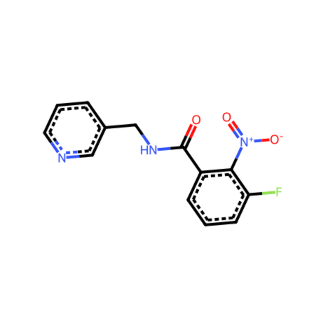 O=C(NCc1cccnc1)c1cccc(F)c1[N+](=O)[O-]